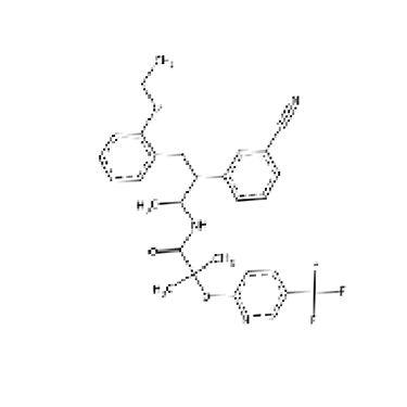 CCOc1ccccc1CC(c1cccc(C#N)c1)C(C)NC(=O)C(C)(C)Oc1ccc(C(F)(F)F)cn1